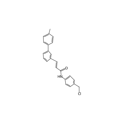 Cc1ccc(-c2cccc(/C=C/C(=O)Nc3ccc(CCl)cc3)c2)cc1